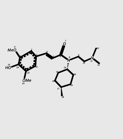 COc1cc(/C=C/C(=O)N(CCN(C)C)[C@H]2CC[C@H](C)CC2)cc(OC)c1O